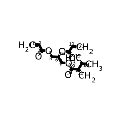 C=CC(=O)OCC(COC(=O)C(=C)C(C)C)OC(=O)C=C